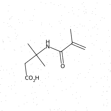 C=C(C)C(=O)NC(C)(C)CC(=O)O